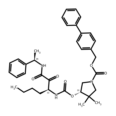 CCCC[C@H](NC(=O)O[C@@H]1CN(C(=O)OCc2ccc(-c3ccccc3)cc2)CC1(C)C)C(=O)C(=O)N[C@H](C)c1ccccc1